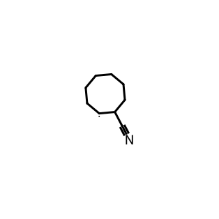 N#CC1[CH]CCCCCC1